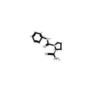 NC(=O)[C@@H]1CCCN1C(=O)Oc1ccccc1